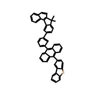 CC1(C)c2ccc(-c3cccc(-c4c5ccccc5c(-c5ccc6sc7ccccc7c6c5)c5ccccc45)c3)cc2-c2c1ccc1ccccc21